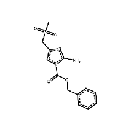 CS(=O)(=O)Cc1cn(C(=O)OCc2ccccc2)c(N)n1